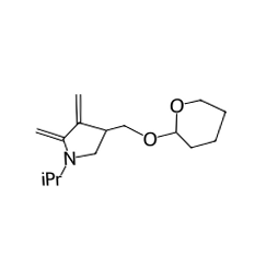 C=C1C(=C)N(C(C)C)CC1COC1CCCCO1